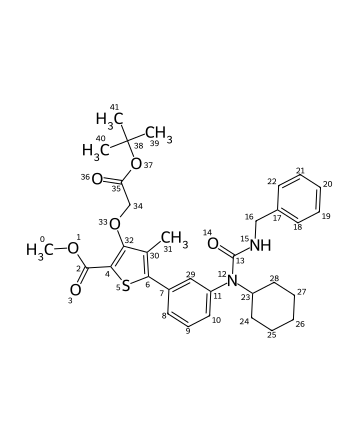 COC(=O)c1sc(-c2cccc(N(C(=O)NCc3ccccc3)C3CCCCC3)c2)c(C)c1OCC(=O)OC(C)(C)C